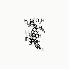 CC(=O)N1CCN(C(=O)NC23CC[C@]4(C)C(CCC5C6(C)CCC(OC(=O)CC(C)(C)C(=O)O)C(C)(C)C6CCC54C)C2=C(C(C)C)C(=O)C3)CC1